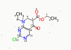 CCOC(=O)C1CN(CC)c2nc(Cl)ncc2C1=O